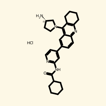 Cl.N[C@H]1CCN(c2c3c(nc4ccc(-c5ccnc(NC(=O)C6CCCCC6)c5)cc24)CCCC3)C1